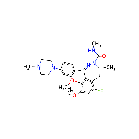 CNC(=O)N1N=C(c2ccc(N3CCN(C)CC3)cc2)c2c(c(F)cc(OC)c2OC)C[C@@H]1C